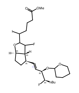 CCCC[C@@H](F)[C@@H](/C=C/[C@H]1CC[C@H]2OC(C(I)CCCC(=O)OC)C(F)[C@H]12)OC1CCCCO1